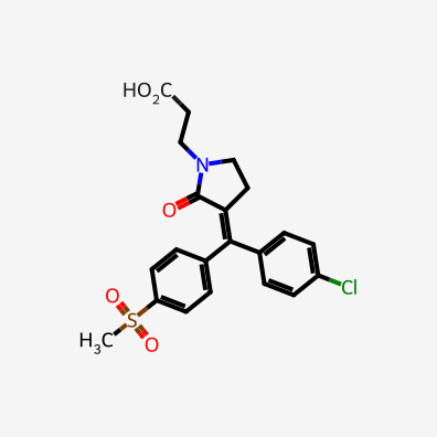 CS(=O)(=O)c1ccc(/C(=C2/CCN(CCC(=O)O)C2=O)c2ccc(Cl)cc2)cc1